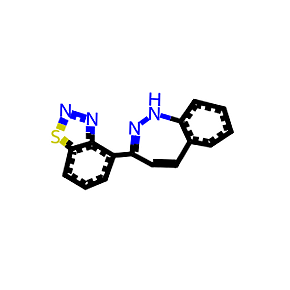 C1=Cc2ccccc2NN=C1c1cccc2snnc12